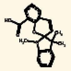 CN1c2ccccc2C(C)(C)C12C=Cc1cccc(C(=O)O)c1O2